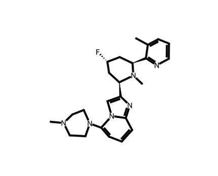 Cc1cccnc1[C@@H]1C[C@@H](F)C[C@H](c2cn3c(N4CCN(C)CC4)cccc3n2)N1C